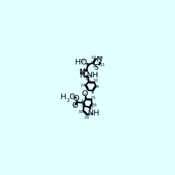 COC(=O)c1c(Oc2cccc(-c3nnc(C(O)c4cncs4)[nH]3)c2)ccc2[nH]ccc12